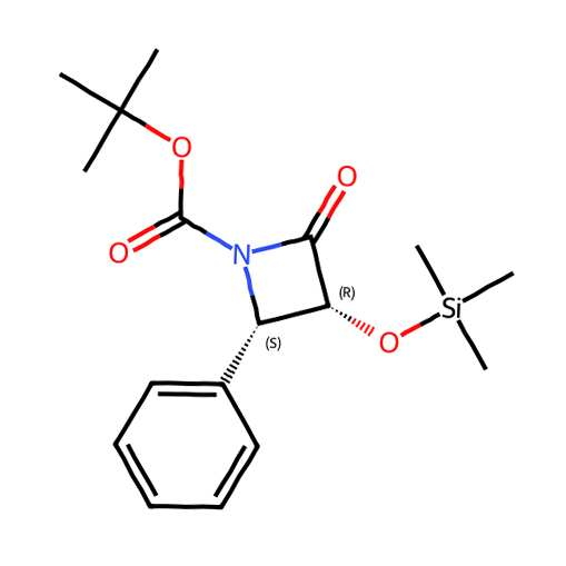 CC(C)(C)OC(=O)N1C(=O)[C@H](O[Si](C)(C)C)[C@@H]1c1ccccc1